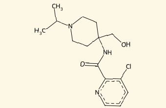 CC(C)N1CCC(CO)(NC(=O)c2ncccc2Cl)CC1